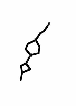 CC1CC(N2CCN(CCF)CC2)C1